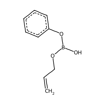 C=CCOB(O)Oc1ccccc1